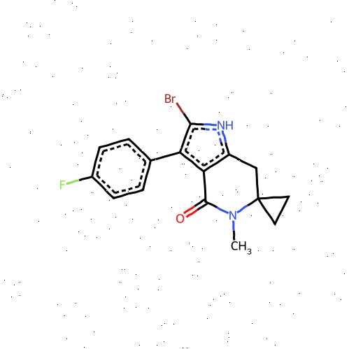 CN1C(=O)c2c([nH]c(Br)c2-c2ccc(F)cc2)CC12CC2